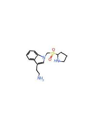 NCCc1cn(CS(=O)(=O)C2CCCN2)c2ccccc12